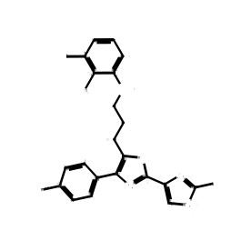 Cc1nc(-c2nc(-c3ccc(Cl)cc3)c(CCCOc3cccc(C)c3C)o2)c[nH]1